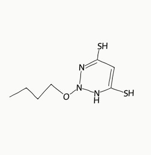 CCCCON1N=C(S)C=C(S)N1